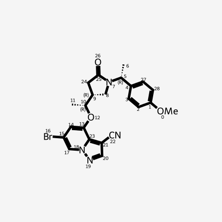 COc1ccc([C@@H](C)N2C[C@H]([C@@H](C)Oc3cc(Br)cn4ncc(C#N)c34)CC2=O)cc1